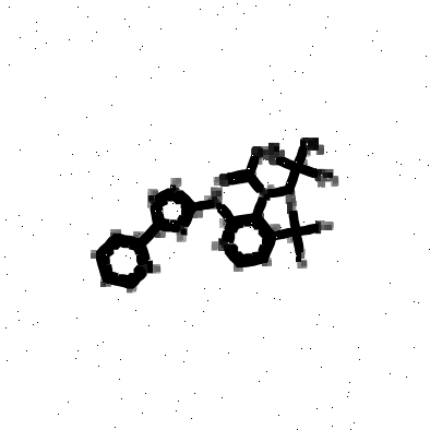 CC(C)(C)CN(C(=O)O)c1c(C(F)(F)F)ccnc1Nc1nc(-c2ccccn2)ns1